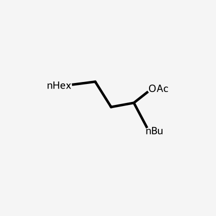 CCCCCCCCC(CCCC)OC(C)=O